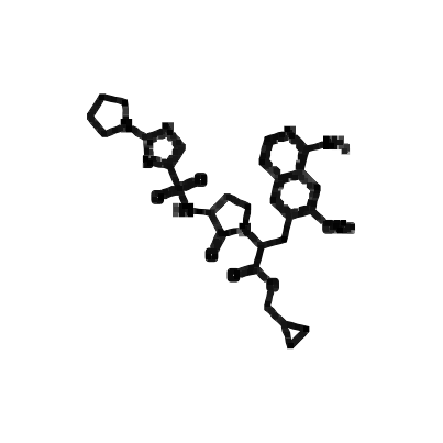 COc1cc2c(N)nccc2cc1CC(C(=O)OCC1CC1)N1CCC(NS(=O)(=O)c2cnc(N3CCCC3)s2)C1=O